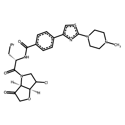 CC(C)C[C@H](NC(=O)c1ccc(-c2csc(N3CCN(C)CC3)n2)cc1)C(=O)N1CC(Cl)[C@H]2OCC(=O)[C@H]21